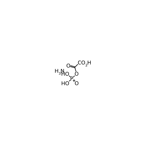 N.O=C(O)C(=O)OP(=O)(O)O